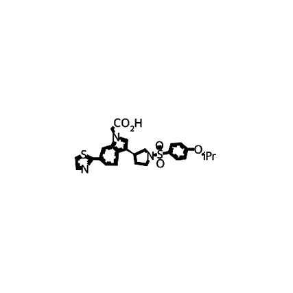 CC(C)Oc1ccc(S(=O)(=O)N2CC[C@@H](c3cn(CC(=O)O)c4cc(-c5nccs5)ccc34)C2)cc1